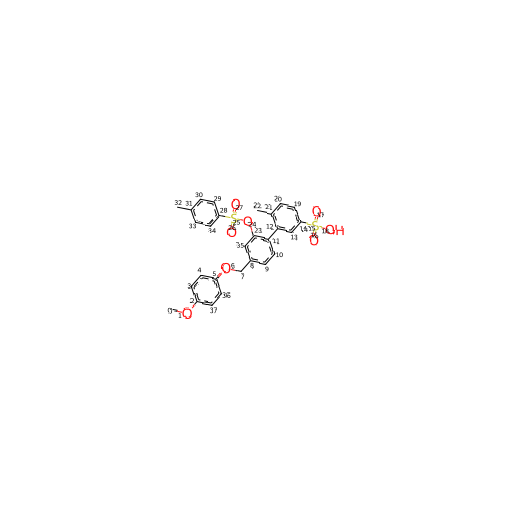 COc1ccc(OCc2ccc(-c3cc(S(=O)(=O)O)ccc3C)c(OS(=O)(=O)c3ccc(C)cc3)c2)cc1